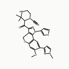 COc1cc2c(cc1-c1ccn(C)n1)-c1c(c(C(=O)C3N(C#N)CCNC3(C)C)nn1-c1ccsc1)CO2